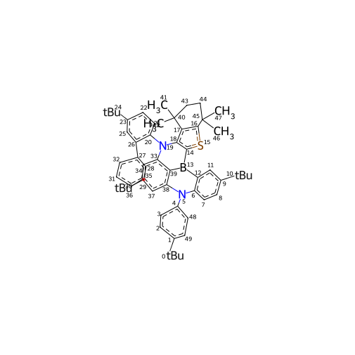 CC(C)(C)c1ccc(N2c3ccc(C(C)(C)C)cc3B3c4sc5c(c4N(c4ccc(C(C)(C)C)cc4-c4ccccc4)c4cc(C(C)(C)C)cc2c43)C(C)(C)CCC5(C)C)cc1